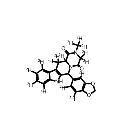 [2H]c1c([2H])c(C2c3[nH]c4c([2H])c([2H])c([2H])c([2H])c4c3C([2H])([2H])[C@]3([2H])C(=O)N(C([2H])([2H])[2H])C([2H])([2H])C(=O)N23)c([2H])c2c1OCO2